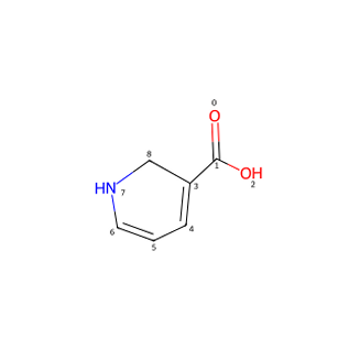 O=C(O)C1=CC=CNC1